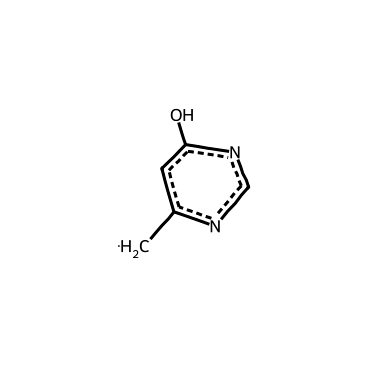 [CH2]c1cc(O)ncn1